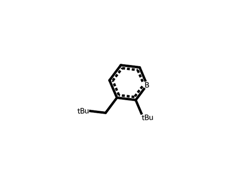 CC(C)(C)Cc1cccbc1C(C)(C)C